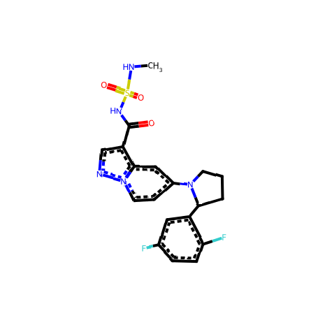 CNS(=O)(=O)NC(=O)c1cnn2ccc(N3CCCC3c3cc(F)ccc3F)cc12